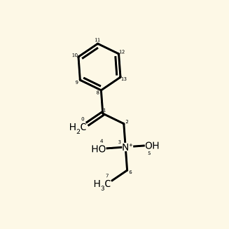 C=C(C[N+](O)(O)CC)c1ccccc1